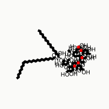 CCCCCCCC/C=C\CCCCCCCCCCCCCC(=O)N[C@@H](CO[C@@H]1OC(CO)[C@@H](O[C@@H]2OC(CO)[C@H](O)[C@H](O[C@@H]3OC(CO)[C@@H](O[C@@H]4OC(CO)[C@H](O[C@@H]5OC(CO)[C@H](O)[C@H](O)C5NC(C)=O)[C@H](O[C@]5(C(=O)O)CC(O)[C@@H](NC(C)=O)C([C@H](O)[C@H](O)CO)O5)C4O)[C@H](O)C3NC(C)=O)C2O)[C@H](O)C1O)[C@H](O)/C=C/CCCCCCCCCCCCC